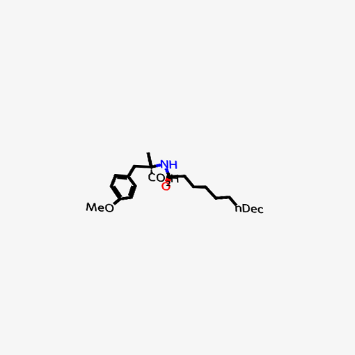 CCCCCCCCCCCCCCCC(=O)N[C@](C)(Cc1ccc(OC)cc1)C(=O)O